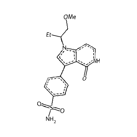 CCC(COC)n1cc(-c2ccc(S(N)(=O)=O)cc2)c2c(=O)[nH]ccc21